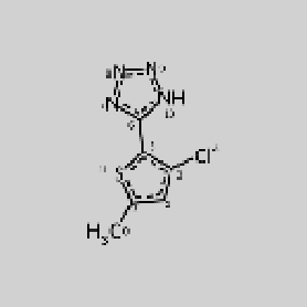 Cc1cc(Cl)c(-c2nnn[nH]2)s1